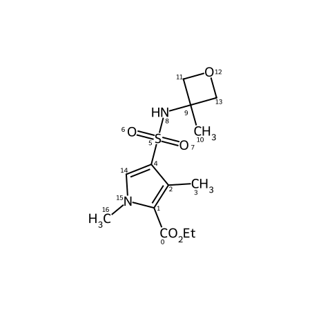 CCOC(=O)c1c(C)c(S(=O)(=O)NC2(C)COC2)cn1C